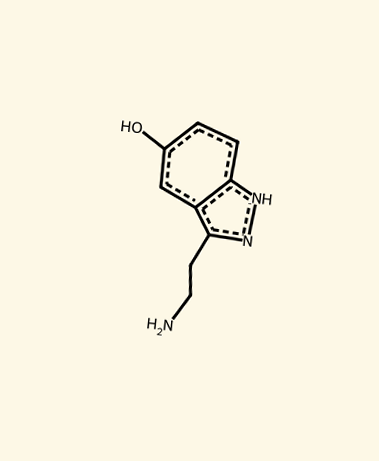 NCCc1n[nH]c2ccc(O)cc12